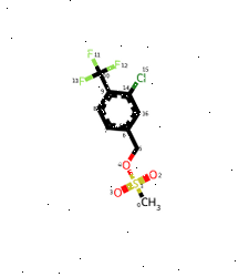 CS(=O)(=O)OCc1ccc(C(F)(F)F)c(Cl)c1